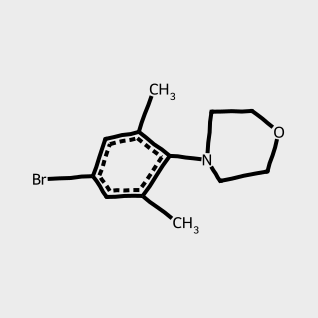 Cc1cc(Br)cc(C)c1N1CCOCC1